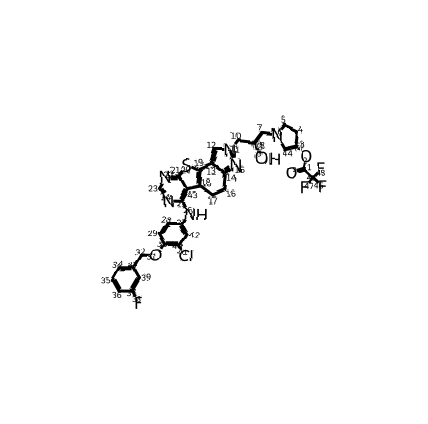 O=C(O[C@H]1CCN(C[C@@H](O)Cn2cc3c(n2)CCc2c-3sc3ncnc(Nc4ccc(OCc5cccc(F)c5)c(Cl)c4)c23)C1)C(F)(F)F